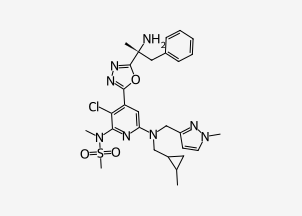 CC1CC1CN(Cc1ccn(C)n1)c1cc(-c2nnc([C@](C)(N)Cc3ccccc3)o2)c(Cl)c(N(C)S(C)(=O)=O)n1